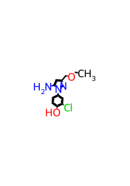 CCOCc1cc(N)n(-c2ccc(O)c(Cl)c2)n1